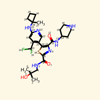 CC(C)(O)CNC(=O)c1nc(C(=O)NC2CCNCC2)c(-c2cnc(NC3(C)CCC3)cc2C(F)F)s1